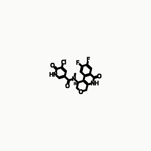 CN(C(=O)c1c[nH]c(=O)c(Cl)c1)[C@@H]1COCc2[nH]c(=O)c3cc(F)c(F)cc3c21